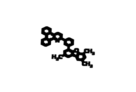 Cc1cc(C)c2oc3c(-c4cccc(-c5ccc6c7ccccc7c7ccccc7c6n5)c4)cc(C)cc3c2c1